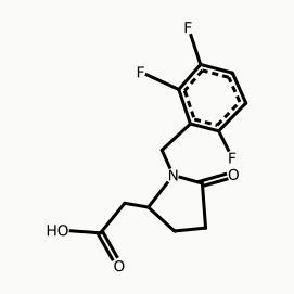 O=C(O)CC1CCC(=O)N1Cc1c(F)ccc(F)c1F